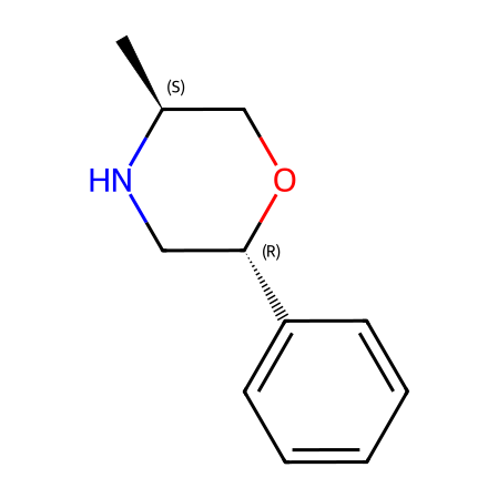 C[C@H]1CO[C@H](c2ccccc2)CN1